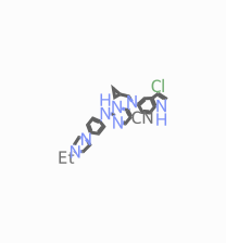 CCN1CCN(c2ccc(Nc3ncc(C#N)c(N(CC4CC4)c4ccc5[nH]cc(Cl)c5c4)n3)cc2)CC1